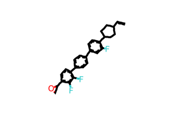 C=CC1CCC(c2ccc(-c3ccc(-c4ccc(C5CO5)c(F)c4F)cc3)cc2F)CC1